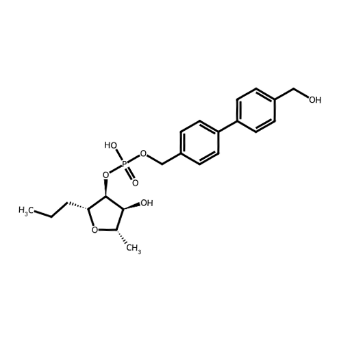 CCC[C@H]1O[C@@H](C)[C@H](O)[C@@H]1OP(=O)(O)OCc1ccc(-c2ccc(CO)cc2)cc1